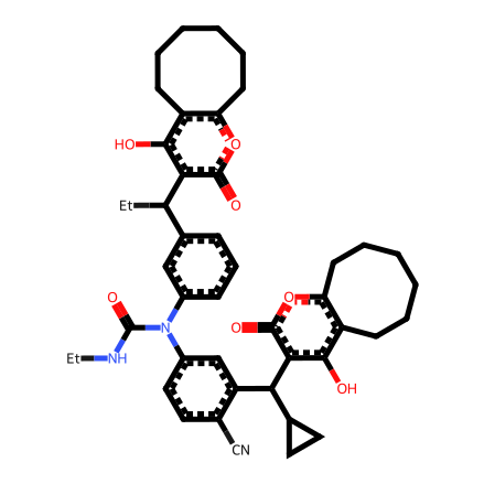 CCNC(=O)N(c1cccc(C(CC)c2c(O)c3c(oc2=O)CCCCCC3)c1)c1ccc(C#N)c(C(c2c(O)c3c(oc2=O)CCCCCC3)C2CC2)c1